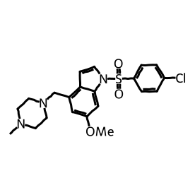 COc1cc(CN2CCN(C)CC2)c2ccn(S(=O)(=O)c3ccc(Cl)cc3)c2c1